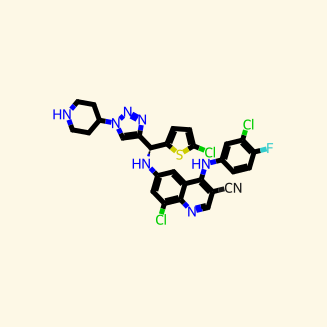 N#Cc1cnc2c(Cl)cc(N[C@H](c3cn(C4CCNCC4)nn3)c3ccc(Cl)s3)cc2c1Nc1ccc(F)c(Cl)c1